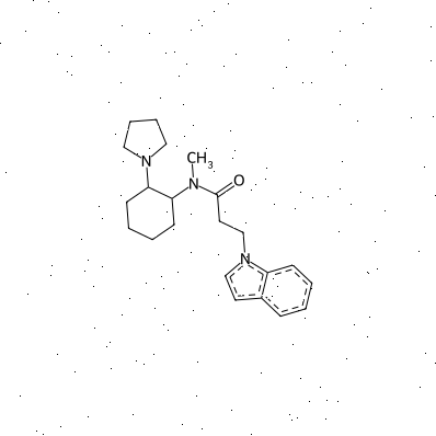 CN(C(=O)CCn1ccc2ccccc21)C1CCCCC1N1CCCC1